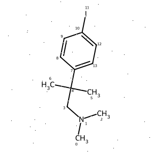 CN(C)CC(C)(C)c1ccc(I)cc1